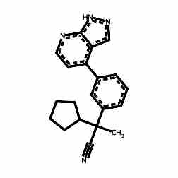 CC(C#N)(c1cccc(-c2ccnc3[nH]ncc23)c1)C1CCCC1